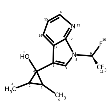 CC1C(C)C1(O)c1cn([C@@H](F)C(F)(F)F)c2ncccc12